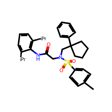 Cc1ccc(S(=O)(=O)N(CC(=O)Nc2c(C(C)C)cccc2C(C)C)CC2(c3ccccc3)CCCC2)cc1